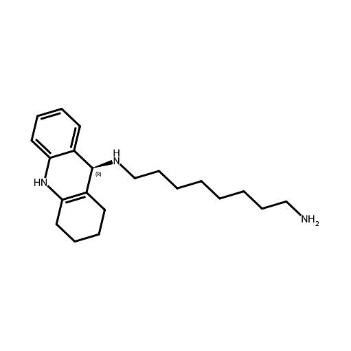 NCCCCCCCCN[C@H]1C2=C(CCCC2)Nc2ccccc21